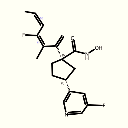 C=C(/C(C)=C(F)\C=C/C)[C@@]1(C(=O)NO)CC[C@@H](c2cncc(F)c2)C1